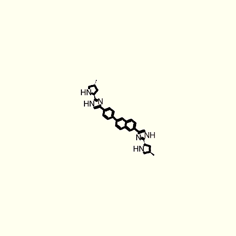 C[C@H]1CN[C@H](c2nc(-c3ccc(-c4ccc5cc(-c6c[nH]c([C@@H]7C[C@@H](C)CN7)n6)ccc5c4)cc3)c[nH]2)C1